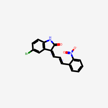 O=C1Nc2ccc(Br)cc2/C1=C/C=C/c1ccccc1[N+](=O)[O-]